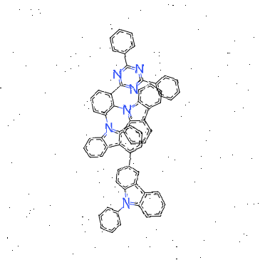 c1ccc(-c2nc(-c3ccccc3)nc(-c3cccc(-n4c5ccccc5c5c(-c6ccc7c(c6)c6ccccc6n7-c6ccccc6)cccc54)c3-n3c4ccccc4c4ccccc43)n2)cc1